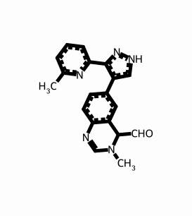 Cc1cccc(-c2n[nH]cc2-c2ccc3c(c2)C(C=O)N(C)C=N3)n1